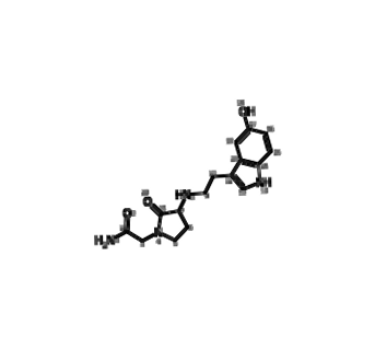 NC(=O)CN1CCC(NCCc2c[nH]c3ccc(O)cc23)C1=O